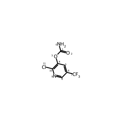 NC(=O)Oc1cc(C(F)(F)F)cnc1Cl